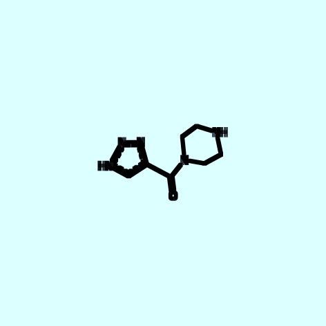 O=C(c1c[nH]nn1)N1CCNCC1